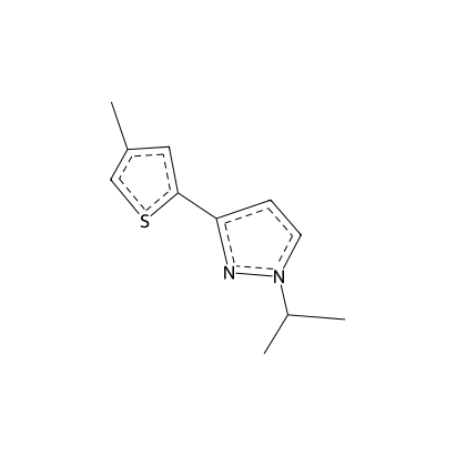 Cc1csc(-c2ccn(C(C)C)n2)c1